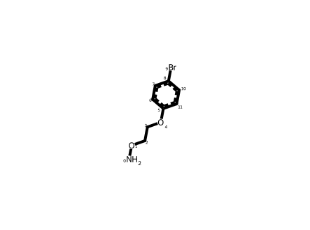 NOCCOc1ccc(Br)cc1